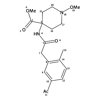 COC(=O)C1(NC(=O)Cc2cc(C(C)=O)ccc2C)CCN(OC)CC1